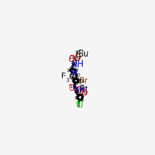 CCS(=O)(=O)c1ccc(Cl)cc1CNC(=O)c1cc(Br)c(CN2CC[C@@H](CNC(=O)OC(C)(C)C)C2)c(C(F)(F)F)c1